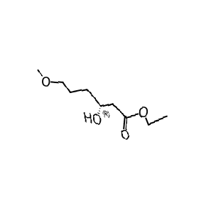 CCOC(=O)C[C@H](O)CCCOC